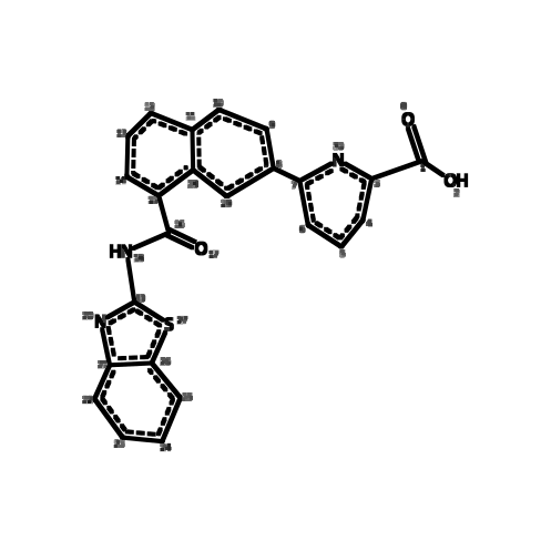 O=C(O)c1cccc(-c2ccc3cccc(C(=O)Nc4nc5ccccc5s4)c3c2)n1